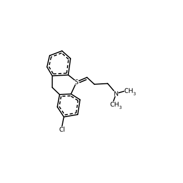 CN(C)CCC=S1c2ccccc2Cc2cc(Cl)ccc21